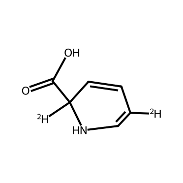 [2H]C1=CNC([2H])(C(=O)O)C=C1